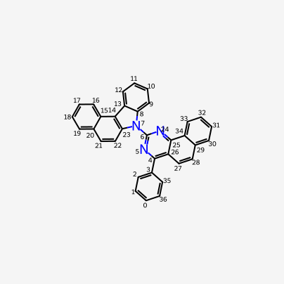 c1ccc(-c2nc(-n3c4ccccc4c4c5ccccc5ccc43)nc3c2ccc2ccccc23)cc1